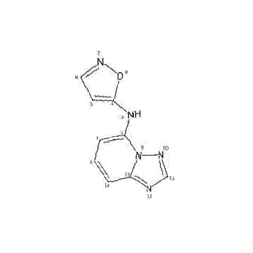 c1cc(Nc2ccno2)n2ncnc2c1